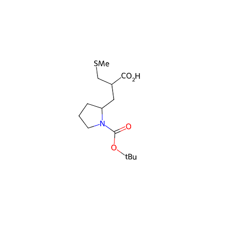 CSCC(CC1CCCN1C(=O)OC(C)(C)C)C(=O)O